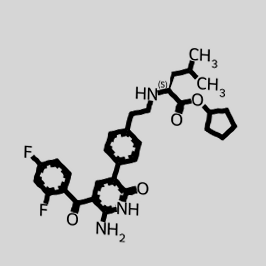 CC(C)C[C@H](NCCc1ccc(-c2cc(C(=O)c3ccc(F)cc3F)c(N)[nH]c2=O)cc1)C(=O)OC1CCCC1